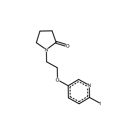 O=C1CCCN1CCOc1ccc(I)nc1